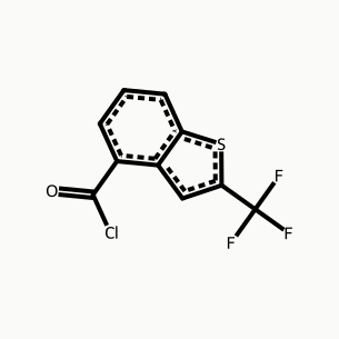 O=C(Cl)c1cccc2sc(C(F)(F)F)cc12